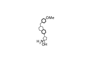 COc1ccc(CC2CCc3cc([C@H]4CC[C@](N)(CO)C4)ccc3C2)cc1